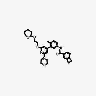 Cc1ccc(NC(=O)c2ccc3c(c2)CC3)cc1-c1cc(OCCOC2CCCCO2)nc(N2CCOCC2)c1